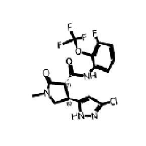 CN1C[C@H](c2cc(Cl)n[nH]2)[C@@H](C(=O)Nc2cccc(F)c2OC(F)(F)F)C1=O